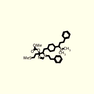 COC(=O)OC1(CCSC)N=CN(CCc2ccccc2)C1CC1CCC(C(CCc2ccccc2)N(C)C)CC1